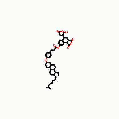 CC(C)CCC[C@@H](C)[C@H]1CCC2C3CCC4CC(Oc5ccc(C=CC(=O)Oc6ccc7c(c6)C6C(=O)OC(=O)C6CC7C6CC(=O)OC6=O)cc5)CC[C@]4(C)C3CC[C@@]21C